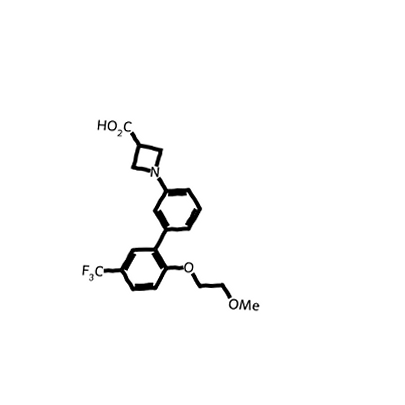 COCCOc1ccc(C(F)(F)F)cc1-c1cccc(N2CC(C(=O)O)C2)c1